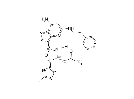 Cc1noc([C@H]2O[C@@H](n3cnc4c(N)nc(NCCc5ccccc5)nc43)[C@H](O)[C@@H]2OC(=O)C(F)(F)F)n1